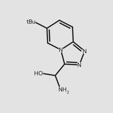 CC(C)(C)c1ccc2nnc(C(N)O)n2c1